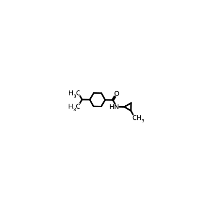 CC(C)C1CCC(C(=O)NC2CC2C)CC1